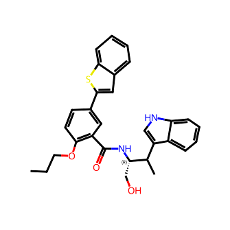 CCCOc1ccc(-c2cc3ccccc3s2)cc1C(=O)N[C@@H](CO)C(C)c1c[nH]c2ccccc12